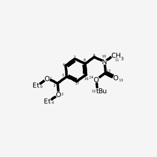 CCOC(OCC)c1ccc(CN(C)C(=O)OC(C)(C)C)cc1